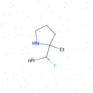 CCCC(F)C1(CC)CCCN1